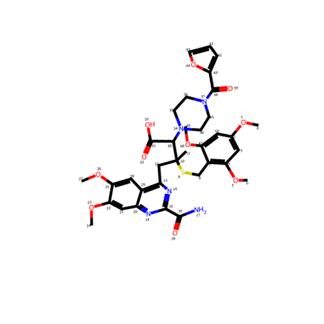 COc1cc(OC)c(CSC(C)(Cc2nc(C(N)=O)nc3cc(OC)c(OC)cc23)C(C(=O)O)N2CCN(C(=O)c3ccco3)CC2)c(OC)c1